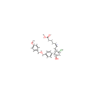 COC(=O)CCC/C=C\C[C@@H]1[C@@H](c2ccc(COCc3ccc(OC)cc3)cc2)[C@H](O)C[C@@H]1Cl